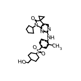 Cc1cc(S(=O)(=O)C2CCC(CO)CC2)ccc1Nc1ncc2c(n1)N(C1CCCC1)C(=O)C21CC1